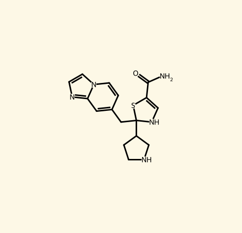 NC(=O)C1=CNC(Cc2ccn3ccnc3c2)(C2CCNC2)S1